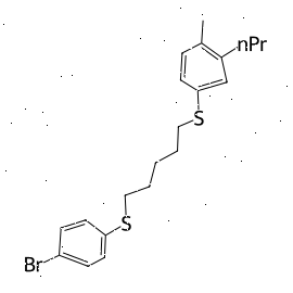 CCCc1cc(SCCCCCSc2ccc(Br)cc2)ccc1C